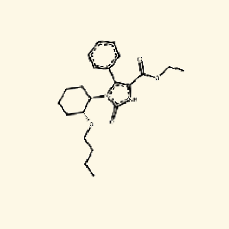 CCCCO[C@@H]1CCCC[C@H]1n1c(-c2ccccc2)c(C(=O)OCC)[nH]c1=O